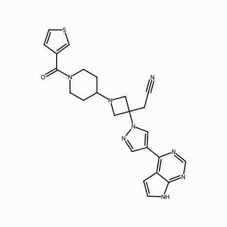 N#CCC1(n2cc(-c3ncnc4[nH]ccc34)cn2)CN(C2CCN(C(=O)c3ccsc3)CC2)C1